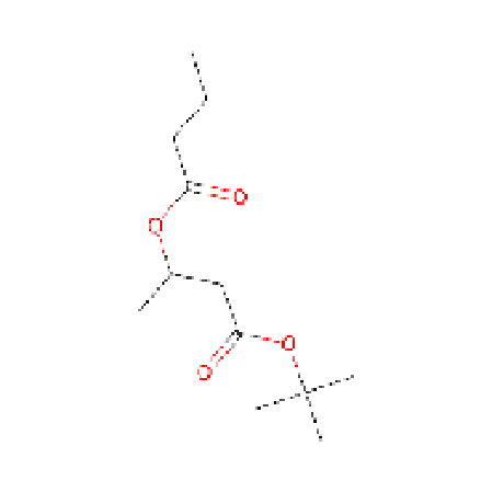 CCCC(=O)OC(C)CC(=O)OC(C)(C)C